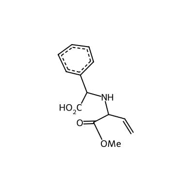 C=CC(NC(C(=O)O)c1ccccc1)C(=O)OC